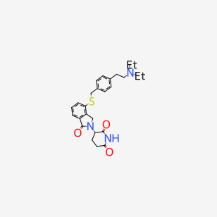 CCN(CC)CCc1ccc(CSc2cccc3c2CN(C2CCC(=O)NC2=O)C3=O)cc1